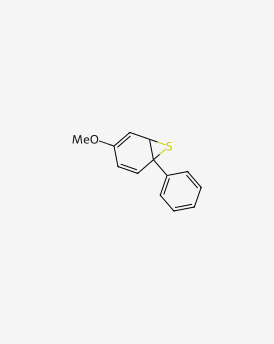 COC1=CC2SC2(c2ccccc2)C=C1